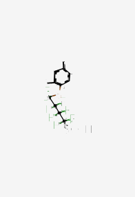 Cc1ccc(SC(F)(F)C(F)(F)C(F)(F)C(F)(F)S(=O)(=O)O)c(C)c1